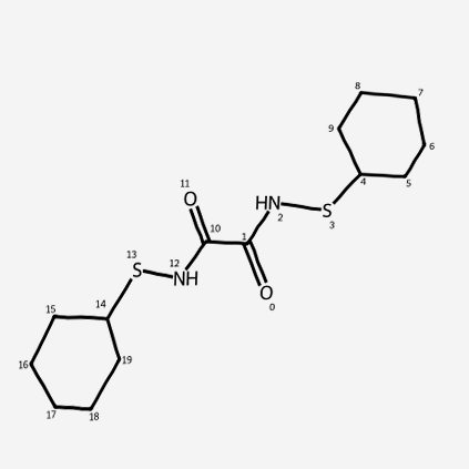 O=C(NSC1CCCCC1)C(=O)NSC1CCCCC1